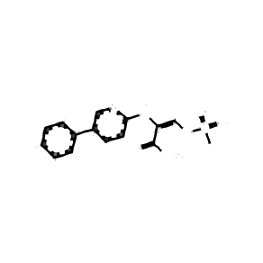 COC(=O)C(=COS(C)(=O)=O)Oc1ccc(-c2ccccc2)cn1